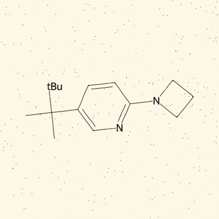 CC(C)(C)C(C)(C)c1ccc(N2CCC2)nc1